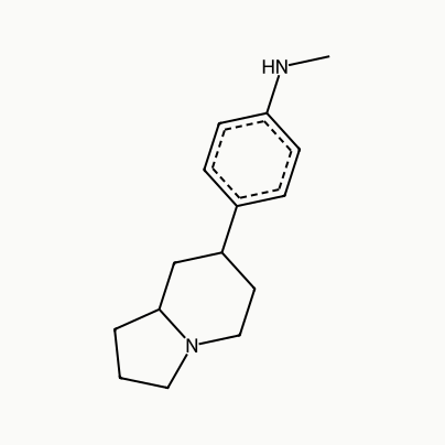 CNc1ccc(C2CCN3CCCC3C2)cc1